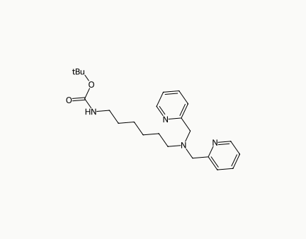 CC(C)(C)OC(=O)NCCCCCCN(Cc1ccccn1)Cc1ccccn1